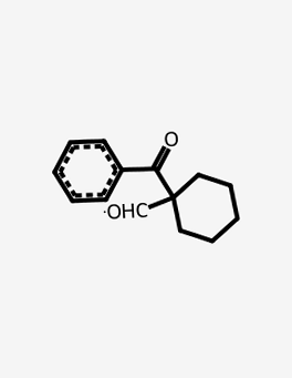 O=[C]C1(C(=O)c2ccccc2)CCCCC1